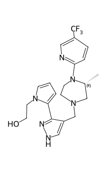 C[C@@H]1CN(Cc2c[nH]nc2-c2cccn2CCO)CCN1c1ccc(C(F)(F)F)cn1